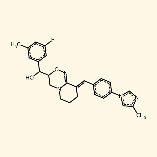 Cc1cc(F)cc(C(O)C2CN3CCC/C(=C\c4ccc(-n5cnc(C)c5)cc4)C3=NO2)c1